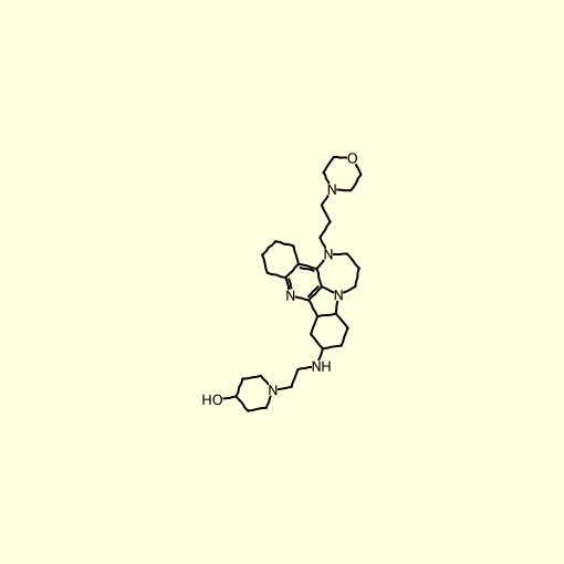 OC1CCN(CCNC2CCC3C(C2)c2nc4c(c5c2N3CCCN5CCCN2CCOCC2)CCCC4)CC1